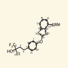 CCC(O)(CCc1ccc(Oc2nc3c(SC)cccc3s2)cc1)C(F)(F)F